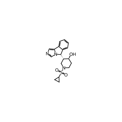 O=S(=O)(C1CC1)N1CC[C@H](O)[C@@H](C2c3ccccc3-c3cncn32)C1